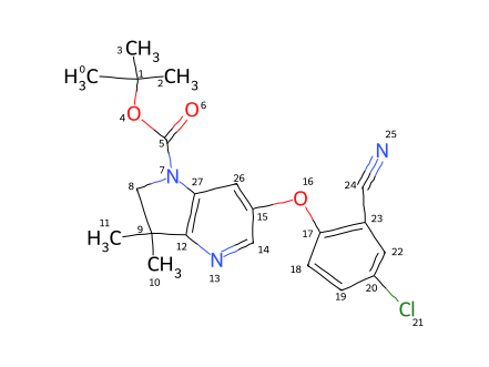 CC(C)(C)OC(=O)N1CC(C)(C)c2ncc(Oc3ccc(Cl)cc3C#N)cc21